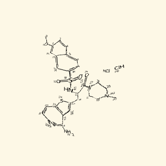 COc1ccc2ccc(S(=O)(=O)NC(Cc3cc4c(N)nccc4s3)C(=O)N3CCN(C)CC3)cc2c1.Cl.Cl